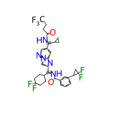 O=C(CCC(F)(F)F)N[C@@H](c1cnn2cc([C@@H](NC(=O)c3cccc(C4CC4(F)F)c3)C3CCC(F)(F)CC3)nc2c1)C1CC1